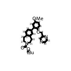 COc1ccc(OCc2cnccn2)c(-c2ccc3c(c2)CCN(C(=O)OC(C)(C)C)CC3)c1